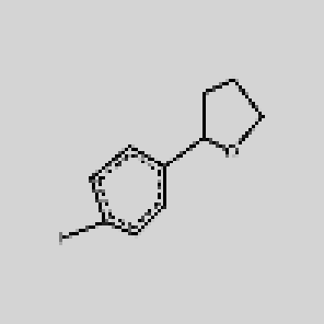 Fc1ccc(C2CCCO2)cc1